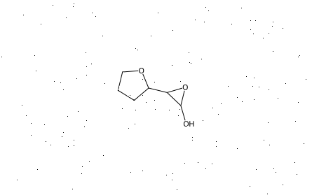 OC1OC1C1CCCO1